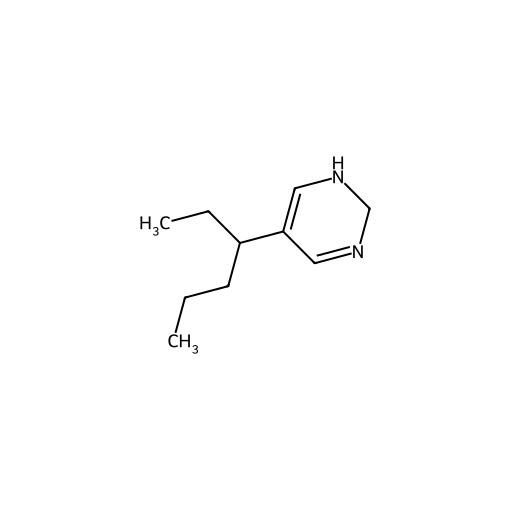 CCCC(CC)C1=CNCN=C1